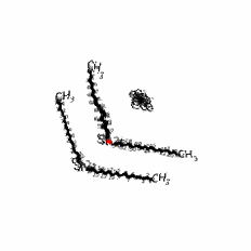 CCCCCCCCCCCCCCCCC[CH2][Sn+2][CH2]CCCCCCCCCCCCCCCCC.CCCCCCCCCCCCCCCCC[CH2][Sn+2][CH2]CCCCCCCCCCCCCCCCC.O=P([O-])([O-])C(Cl)(Cl)P(=O)([O-])[O-]